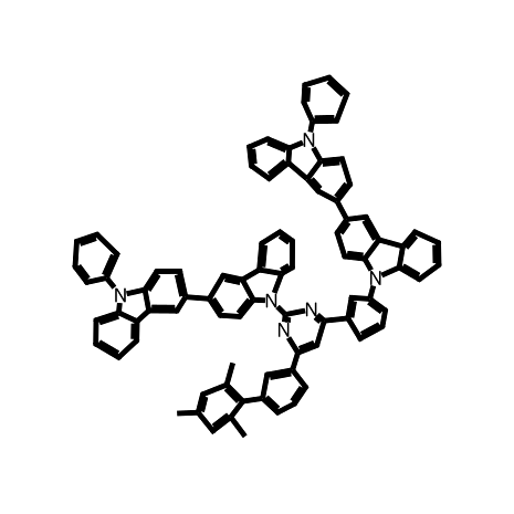 Cc1cc(C)c(-c2cccc(-c3cc(-c4cccc(-n5c6ccccc6c6cc(-c7ccc8c(c7)c7ccccc7n8-c7ccccc7)ccc65)c4)nc(-n4c5ccccc5c5cc(-c6ccc7c(c6)c6ccccc6n7-c6ccccc6)ccc54)n3)c2)c(C)c1